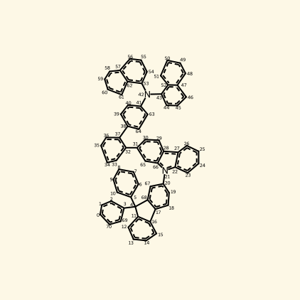 c1ccc(C2(c3ccccc3)c3ccccc3-c3ccc(-n4c5ccccc5c5ccc(-c6ccccc6-c6ccc(N(c7cccc8ccccc78)c7cccc8ccccc78)cc6)cc54)cc32)cc1